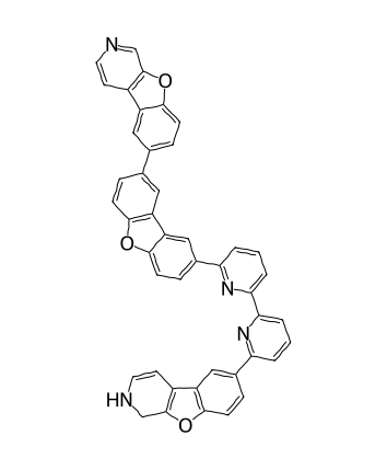 C1=Cc2c(oc3ccc(-c4cccc(-c5cccc(-c6ccc7oc8ccc(-c9ccc%10oc%11cnccc%11c%10c9)cc8c7c6)n5)n4)cc23)CN1